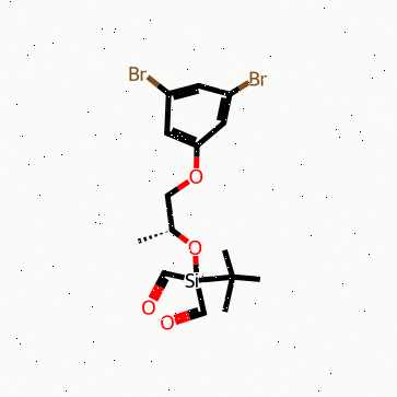 C[C@H](COc1cc(Br)cc(Br)c1)O[Si](C=O)(C=O)C(C)(C)C